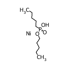 CCCCCOP(=O)(O)CCCCC.[Ni]